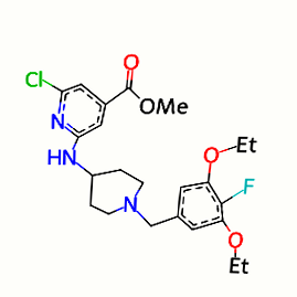 CCOc1cc(CN2CCC(Nc3cc(C(=O)OC)cc(Cl)n3)CC2)cc(OCC)c1F